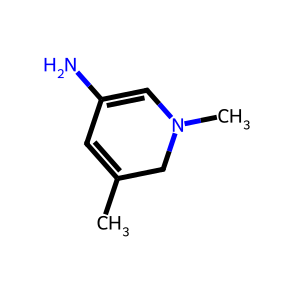 CC1=CC(N)=CN(C)C1